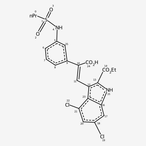 CCCS(=O)(=O)Nc1cccc(C(=Cc2c(C(=O)OCC)[nH]c3cc(Cl)cc(Cl)c23)C(=O)O)c1